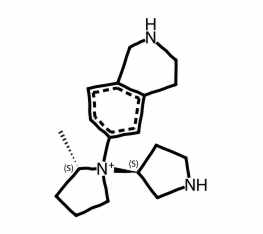 C[C@H]1CCC[N+]1(c1ccc2c(c1)CCNC2)[C@H]1CCNC1